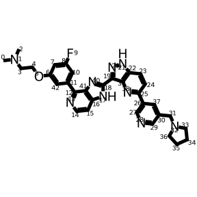 CN(C)CCOc1cc(F)cc(-c2nccc3[nH]c(-c4n[nH]c5ccc(-c6cncc(CN7CCCC7)c6)nc45)nc23)c1